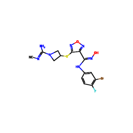 N#CN=C(N)N1CC(Sc2nonc2C(=NO)Nc2ccc(F)c(Br)c2)C1